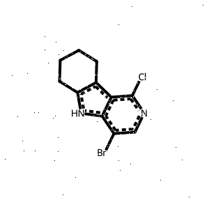 Clc1ncc(Br)c2[nH]c3c(c12)CCCC3